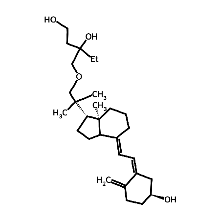 C=C1CC[C@H](O)C/C1=C/C=C1CCC[C@@]2(C)C1CC[C@@H]2C(C)(C)COCC(O)(CC)CCO